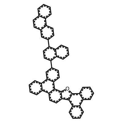 c1ccc2c(c1)ccc1cc(-c3ccc(-c4ccc5c(c4)c4ccccc4c4ccc6c(oc7c8ccccc8c8ccccc8c67)c45)c4ccccc34)ccc12